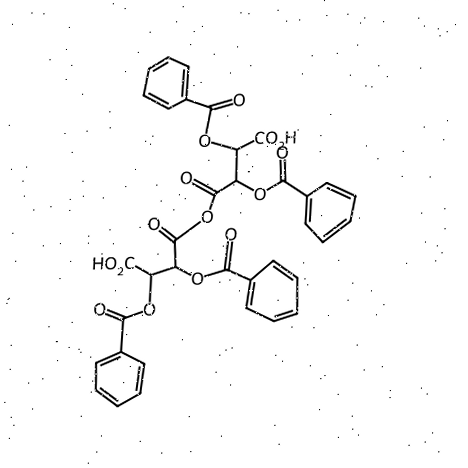 O=C(OC(C(=O)O)C(OC(=O)c1ccccc1)C(=O)OC(=O)C(OC(=O)c1ccccc1)C(OC(=O)c1ccccc1)C(=O)O)c1ccccc1